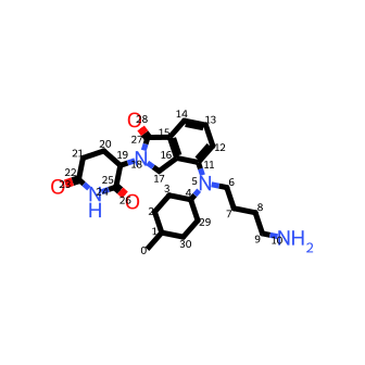 CC1CCC(N(CCCCN)c2cccc3c2CN(C2CCC(=O)NC2=O)C3=O)CC1